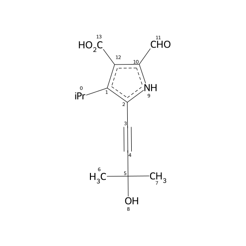 CC(C)c1c(C#CC(C)(C)O)[nH]c(C=O)c1C(=O)O